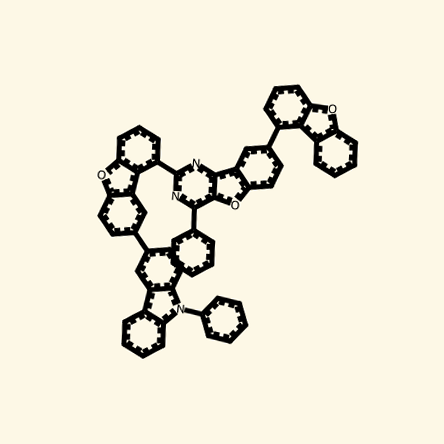 c1ccc(-c2nc(-c3cccc4oc5ccc(-c6ccc7c(c6)c6ccccc6n7-c6ccccc6)cc5c34)nc3c2oc2ccc(-c4cccc5oc6ccccc6c45)cc23)cc1